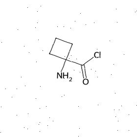 NC1(C(=O)Cl)CCC1